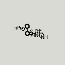 CCCOc1ccccc1-c1cccc2cc(C(=O)N[C@H]3CNCCC3(F)F)oc12